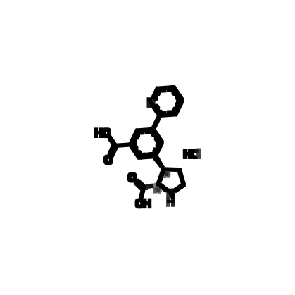 Cl.O=C(O)c1cc(-c2ccccn2)cc([C@H]2CCN[C@@H]2C(=O)O)c1